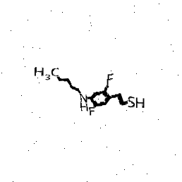 CCCCCNc1cc(F)c(/C=C/S)cc1F